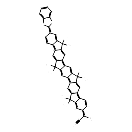 CC1(C)c2cc(=C3Sc4ccccc4S3)ccc2=c2cc3c(cc21)=c1cc2c(cc1C3(C)C)=c1cc3c(cc1C2(C)C)=c1cc/c(=C(\N)C#N)cc1C3(C)C